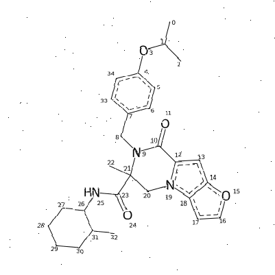 CC(C)Oc1ccc(CN2C(=O)c3cc4occc4n3CC2(C)C(=O)NC2CCCCC2C)cc1